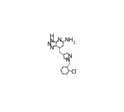 Nc1cc(Cc2cnn(Cc3ccccc3Cl)c2)c2nn[nH]c2n1